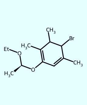 CCO[C@H](C)OC1=C(C)C(C)C(Br)C(C)=C1